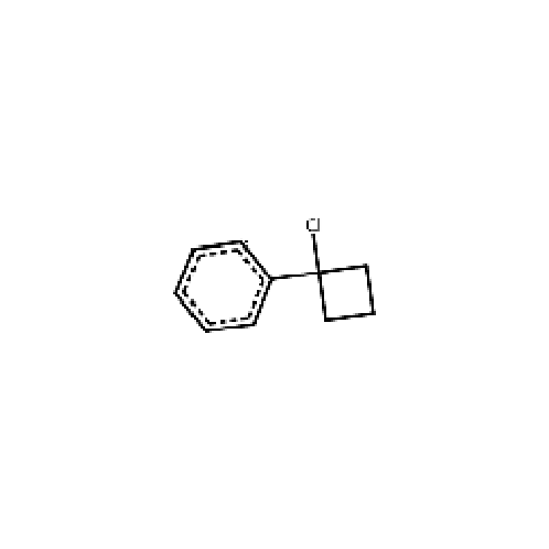 ClC1(c2[c]cccc2)CCC1